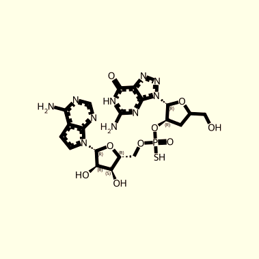 Nc1nc2c(nnn2[C@@H]2OC(CO)C[C@H]2OP(=O)(S)OC[C@H]2O[C@@H](n3ccc4c(N)ncnc43)[C@H](O)[C@@H]2O)c(=O)[nH]1